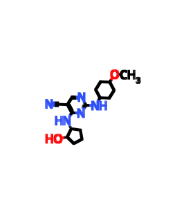 COC1CCC(Nc2ncc(C#N)c(N[C@@H]3CCC[C@H]3O)n2)CC1